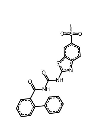 CS(=O)(=O)c1ccc2nc(NC(=O)NC(=O)c3ccccc3-c3ccccc3)sc2c1